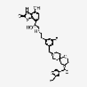 CCc1cc(C(=O)N2CCOC3(CCN(Cc4cc(F)cc(CCNC[C@H](O)c5ccc(O)c6[nH]c(=O)sc56)c4)CC3)C2)cs1